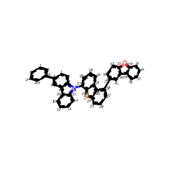 c1ccc(-c2ccc3c(c2)c2ccccc2n3-c2cccc3c2sc2cccc(-c4ccc5oc6ccccc6c5c4)c23)cc1